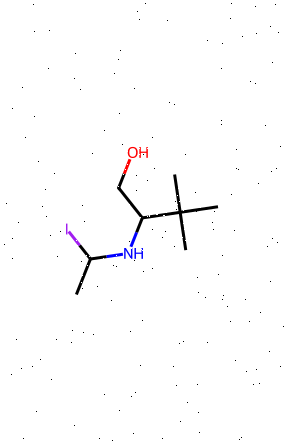 CC(I)NC(CO)C(C)(C)C